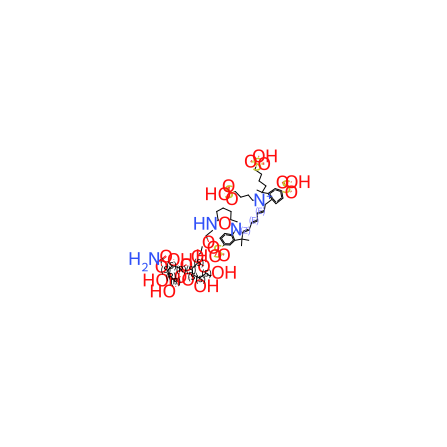 CC1(C)/C(=C/C=C/C=C/C2=[N+](CCCCS(=O)(=O)O)C(C)(CCCCS(=O)(=O)O)c3cc(S(=O)(=O)O)ccc32)N(CCCCCC(=O)NCCOCCO[C@H]2O[C@@H](CO)[C@@H](O)[C@H](O)[C@@H]2O[C@H]2O[C@H](CO)[C@@H](O)[C@H](OC(N)=O)[C@@H]2O)c2ccc(S(=O)(=O)O)cc21